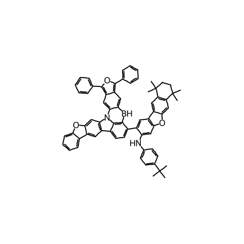 CC(C)(C)c1ccc(Nc2cc3oc4cc5c(cc4c3cc2-c2ccc3c4cc6c(cc4n4c3c2Bc2cc3c(-c7ccccc7)oc(-c7ccccc7)c3cc2-4)oc2ccccc26)C(C)(C)CCC5(C)C)cc1